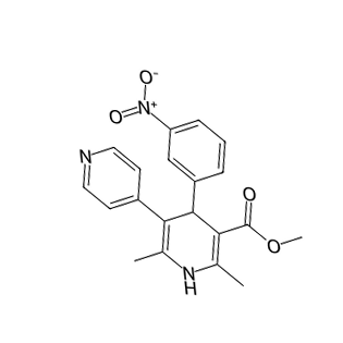 COC(=O)C1=C(C)NC(C)=C(c2ccncc2)C1c1cccc([N+](=O)[O-])c1